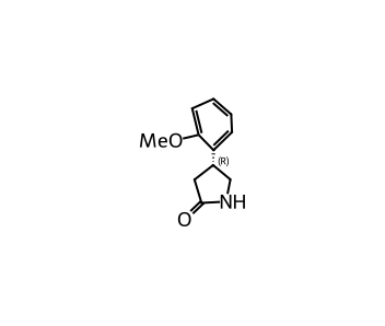 COc1ccccc1[C@@H]1CNC(=O)C1